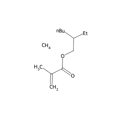 C.C=C(C)C(=O)OCC(CC)CCCC